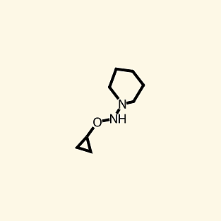 C1CCN(NOC2CC2)CC1